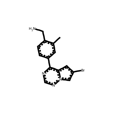 Cc1cc(-c2ncnn3cc(Br)cc23)ccc1CN